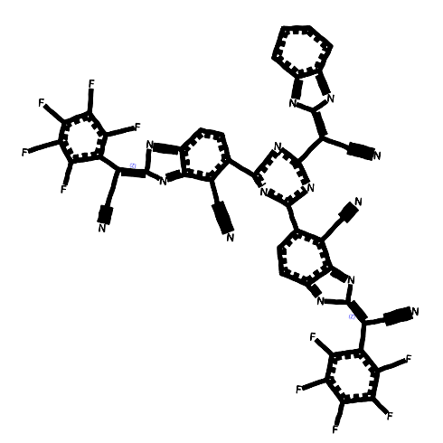 N#CC(=C1N=c2ccccc2=N1)c1nc(-c2ccc3c(c2C#N)=N/C(=C(\C#N)c2c(F)c(F)c(F)c(F)c2F)N=3)nc(-c2ccc3c(c2C#N)=N/C(=C(\C#N)c2c(F)c(F)c(F)c(F)c2F)N=3)n1